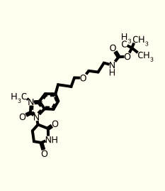 Cn1c(=O)n(C2CCC(=O)NC2=O)c2ccc(CCCOCCCNC(=O)OC(C)(C)C)cc21